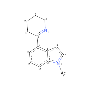 CC(=O)n1ccc2c(C3=NCCCC3)cccc21